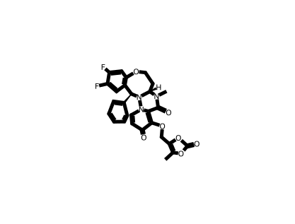 Cc1oc(=O)oc1COc1c2n(ccc1=O)N1[C@@H](c3ccccc3)c3cc(F)c(F)cc3OCC[C@@H]1N(C)C2=O